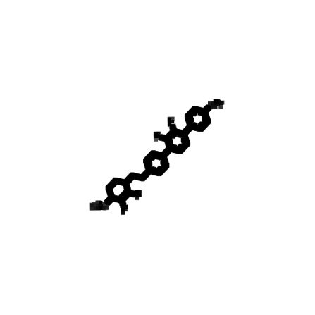 CCCCC1CCC(CCc2ccc(-c3ccc(-c4ccc(CCC)cc4)c(F)c3F)cc2)C(F)=C1F